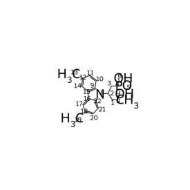 CCC(CP(=O)(O)O)n1c2ccc(C)cc2c2cc(C)ccc21